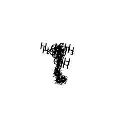 Cc1nc(C)c(C(=O)O)c(C2C=CC(NC(=O)NCCCN3CC=C(c4cccc5ccccc45)CC3)C=C2)c1C(=O)O